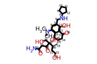 CN(C)c1cc(CNC2CCCC2)c(O)c2c1C[C@@H](C[C@@H](CCO)[C@](O)(CO)C(=O)CC(N)=O)CC2=O